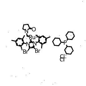 C1CCC(P(C2CCCCC2)C2CCCCC2)CC1.Cc1cc(C)c(-n2c(Br)c(Br)n(-c3c(C)cc(C)cc3C)[c]2=[Ru+2]=[CH]N2CCCC2=O)c(C)c1.[Cl-].[Cl-]